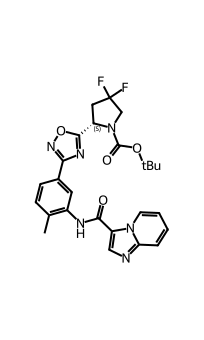 Cc1ccc(-c2noc([C@@H]3CC(F)(F)CN3C(=O)OC(C)(C)C)n2)cc1NC(=O)c1cnc2ccccn12